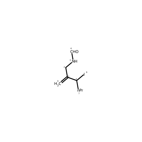 C=C(CNC=O)C(I)CCC